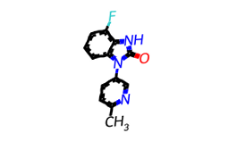 Cc1ccc(-n2c(=O)[nH]c3c(F)cccc32)cn1